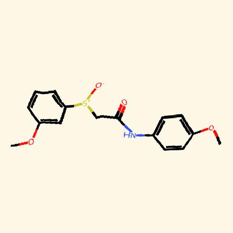 COc1ccc(NC(=O)C[S+]([O-])c2cccc(OC)c2)cc1